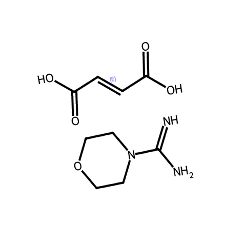 N=C(N)N1CCOCC1.O=C(O)/C=C/C(=O)O